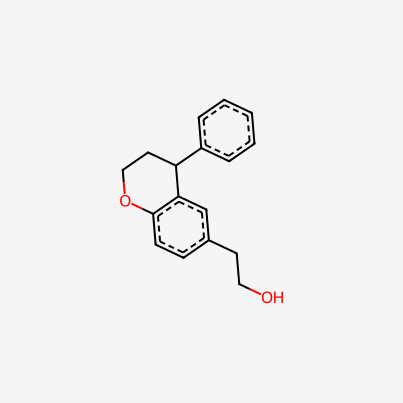 OCCc1ccc2c(c1)C(c1ccccc1)CCO2